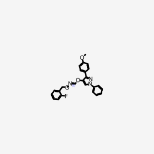 COc1ccc(-c2nn(-c3ccccc3)cc2O/C=N/OCc2ccccc2F)cc1